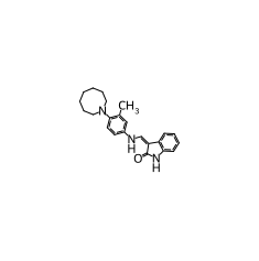 Cc1cc(NC=C2C(=O)Nc3ccccc32)ccc1N1CCCCCCC1